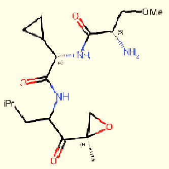 COC[C@H](N)C(=O)N[C@H](C(=O)NC(CC(C)C)C(=O)[C@@]1(C)CO1)C1CC1